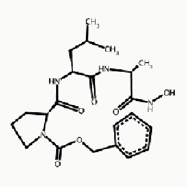 CC(C)C[C@H](NC(=O)[C@@H]1CCCN1C(=O)OCc1ccccc1)C(=O)N[C@@H](C)C(=O)NO